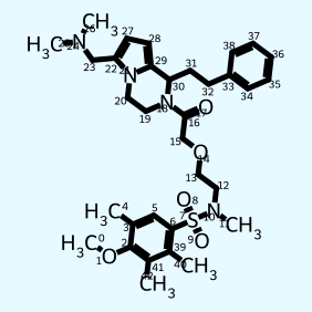 COc1c(C)cc(S(=O)(=O)N(C)CCOCC(=O)N2CCn3c(CN(C)C)ccc3C2CCc2ccccc2)c(C)c1C